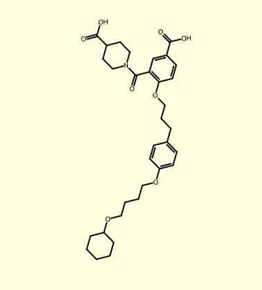 O=C(O)c1ccc(OCCCc2ccc(OCCCCOC3CCCCC3)cc2)c(C(=O)N2CCC(C(=O)O)CC2)c1